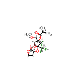 C=C(C)C(=O)OC1(COC)COC(OC2CCOC2=O)(C(F)(F)F)C1(F)F